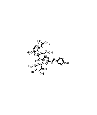 C=CC(C)(CCC=C(C)C)OC1OC(CO)C(OC(=O)/C=C/c2ccc(O)cc2)C(OC2OC(C)C(O)C(O)C2O)C1O